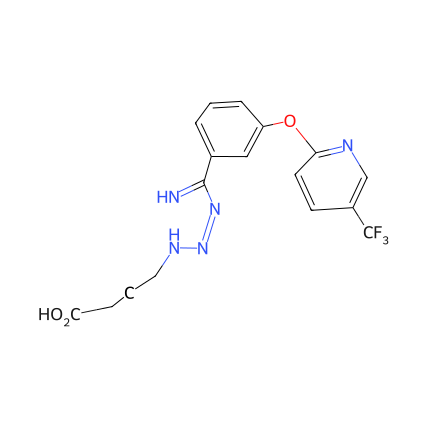 N=C(/N=N\NCCCC(=O)O)c1cccc(Oc2ccc(C(F)(F)F)cn2)c1